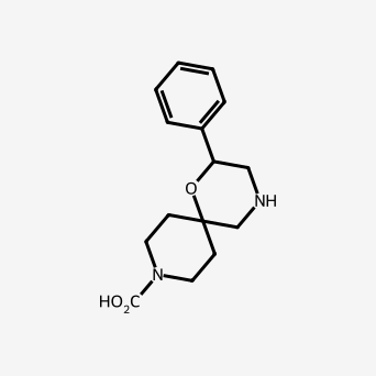 O=C(O)N1CCC2(CC1)CNCC(c1ccccc1)O2